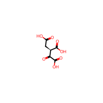 O=C(O)C[C@@H](C(=O)O)C(=O)C(=O)O